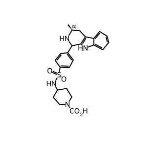 C[C@H]1Cc2c([nH]c3ccccc23)C(c2ccc(S(=O)(=O)NC3CCN(C(=O)O)CC3)cc2)N1